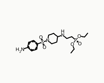 CCOP(=O)(CCNC1CCN(S(=O)(=O)c2ccc(N)cc2)CC1)OCC